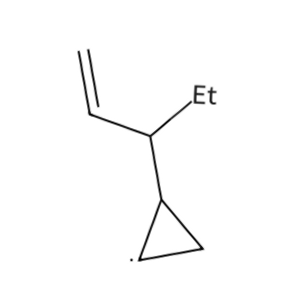 C=CC(CC)C1[CH]C1